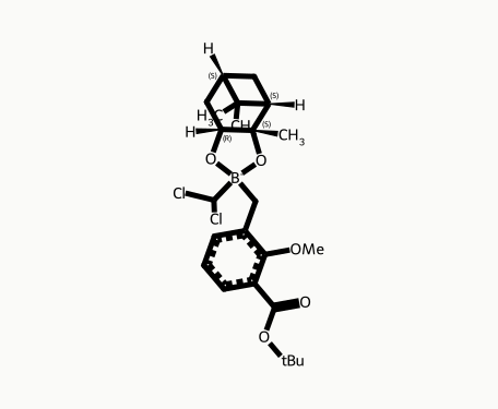 COc1c(C[B-]2(C(Cl)Cl)O[C@@H]3C[C@@H]4C[C@@H](C4(C)C)[C@]3(C)O2)cccc1C(=O)OC(C)(C)C